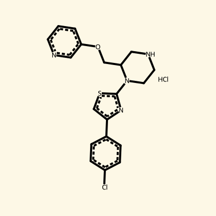 Cl.Clc1ccc(-c2csc(N3CCNCC3COc3cccnc3)n2)cc1